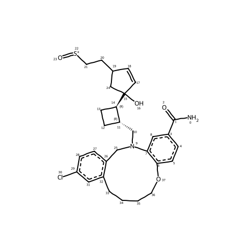 NC(=O)c1ccc2c(c1)N(C[C@@H]1CC[C@H]1C1(O)C=CC(CC[S+]=O)C1)Cc1ccc(Cl)cc1CCCCO2